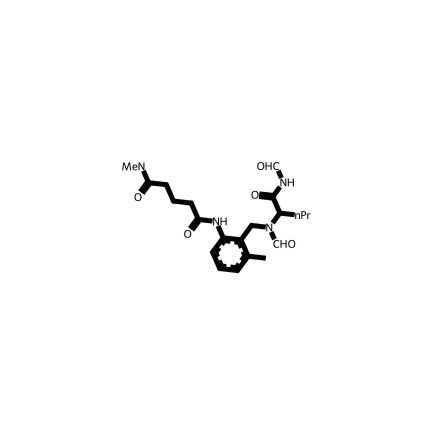 CCCC(C(=O)NC=O)N(C=O)Cc1c(C)cccc1NC(=O)CCCC(=O)NC